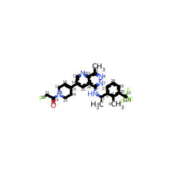 Cc1c([C@@H](C)Nc2nnc(C)c3ncc(C4=CCN(C(=O)CF)CC4)cc23)cccc1C(F)(F)F